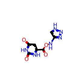 O=C(ONc1c[nH]nn1)c1cc(=O)[nH]c(=O)[nH]1